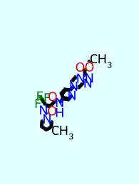 CCOC(=O)c1nnc2n1CCN(c1ccc(NC(=O)c3oc(N4CCCC(C)C4)nc3C(F)(F)F)cn1)C2